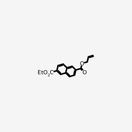 C=CCOC(=O)c1ccc2cc(C(=O)OCC)ccc2c1